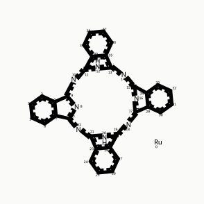 [Ru].c1ccc2c(c1)-c1nc-2nc2[nH]c(nc3nc(nc4[nH]c(n1)c1ccccc41)-c1ccccc1-3)c1ccccc21